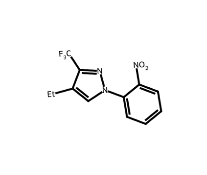 CCc1cn(-c2ccccc2[N+](=O)[O-])nc1C(F)(F)F